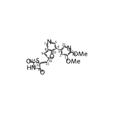 COc1cc(-c2cncc3cc(/C=C4\SC(=O)NC4=O)oc23)cnc1OC